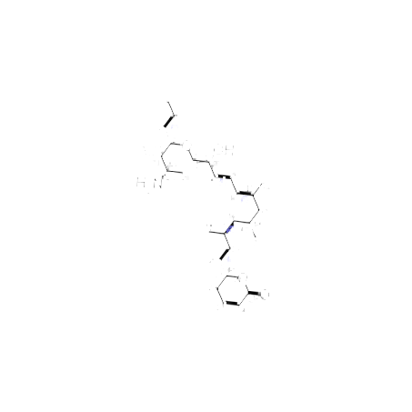 C/C=C/[C@@H]1O[C@H]([C@H](O)/C=C/C=C(\C)C[C@@H](C)/C=C(C)\C=C\[C@H]2CC=CC(=O)O2)C[C@@H](N)[C@@H]1C